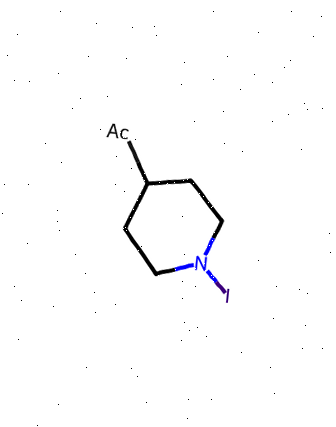 CC(=O)C1CCN(I)CC1